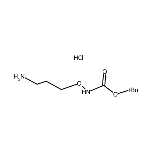 CC(C)(C)OC(=O)NOCCCN.Cl